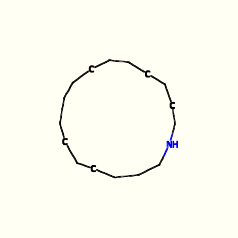 C1CCCCCCCCNCCCCCCC1